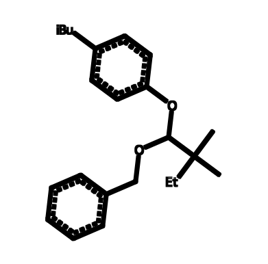 CCC(C)c1ccc(OC(OCc2ccccc2)C(C)(C)CC)cc1